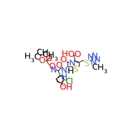 Cn1nnnc1SCC1=C(C(=O)O)N2C(=O)C(NC(=O)/C(=N\OCC(=O)OC(C)(C)C)c3ccc(O)c(Cl)c3)[C@H]2SC1